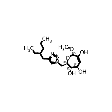 CCCC(CC)Cc1cn(C[C@H]2O[C@H](OC)C(O)=C[C@@H](O)[C@@H]2O)nn1